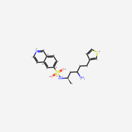 C[C@H](CC(N)CCc1ccsc1)NS(=O)(=O)c1ccc2cnccc2c1